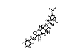 Cn1nc(C2CC2)cc1S(=O)(=O)N1C[C@H]2CC(NC(=O)OCc3ccccc3)C[C@H]2C1